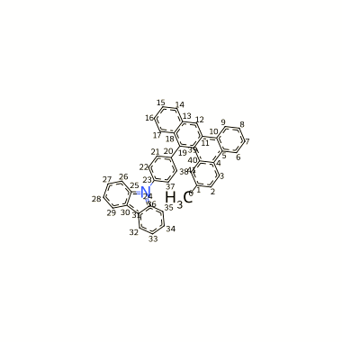 Cc1ccc2c3ccccc3c3cc4ccccc4c(-c4ccc(-n5c6ccccc6c6ccccc65)cc4)c3c2c1